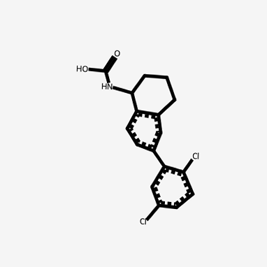 O=C(O)NC1CCCc2cc(-c3cc(Cl)ccc3Cl)ccc21